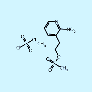 C.CS(=O)(=O)OCCc1cccnc1[N+](=O)[O-].O=S(=O)(Cl)Cl